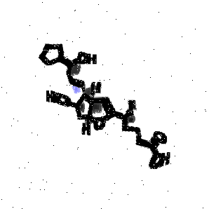 O=C(O)CCC[C@H](F)C1=C[C@@H]2[C@@H](/C=C/[C@H](O)C3CCCC3)[C@H](O)C[C@@H]2O1